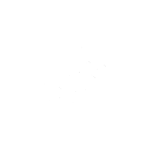 Cc1ccnc(Nc2ccc(N3CCOCC3)c(F)c2)n1